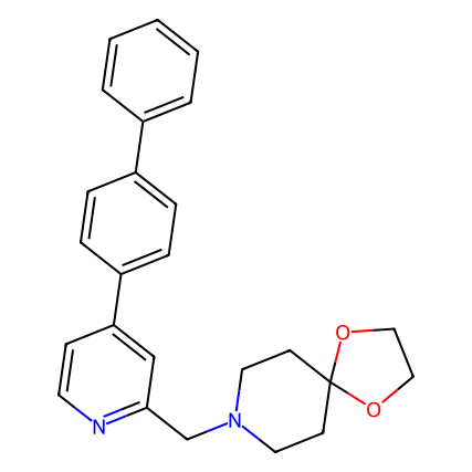 c1ccc(-c2ccc(-c3ccnc(CN4CCC5(CC4)OCCO5)c3)cc2)cc1